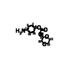 Nc1ccc(O[PH](=O)OC2COCCO2)cc1